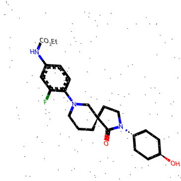 CCOC(=O)Nc1ccc(N2CCC[C@]3(CCN([C@H]4CC[C@H](O)CC4)C3=O)C2)c(F)c1